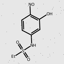 CCS(=O)(=O)Nc1ccc(N=O)c(O)c1